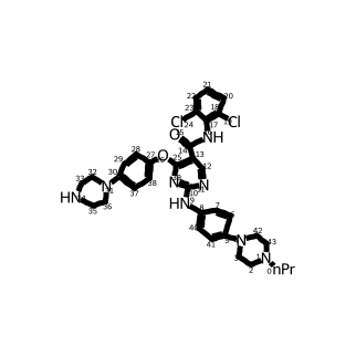 CCCN1CCN(c2ccc(Nc3ncc(C(=O)Nc4c(Cl)cccc4Cl)c(Oc4ccc(N5CCNCC5)cc4)n3)cc2)CC1